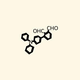 O=Cc1cccc(-c2ccc(N(c3ccccc3)c3ccccc3)cc2)c1C=O